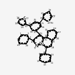 c1ccc(-c2nn3c(-c4ccccc4)cc4ccccc4c3c2-c2cc(-c3cccs3)cc(-c3cccs3)c2)cc1